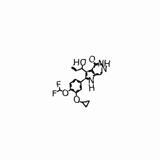 C=CC(O)c1c(-c2ccc(OC(F)F)c(OC3CC3)c2)[nH]c2cn[nH]c(=O)c12